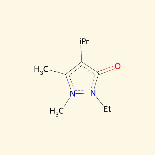 CCn1c(=O)c(C(C)C)c(C)n1C